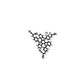 C/C(C#N)=C\c1ccc(-n2c3ccccc3c3c4c(c5ccccc5n4-c4ccc(C=C(C#N)C#N)cc4)c4c(c5ccccc5n4-c4ccc(C=C(C#N)C#N)cc4)c32)cc1